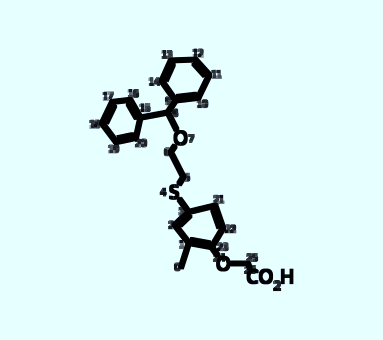 Cc1cc(SCCOC(c2ccccc2)c2ccccc2)ccc1OCC(=O)O